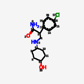 NC(=O)C(CN[C@H]1CC[C@H](O)CC1)c1ccc(Cl)cc1